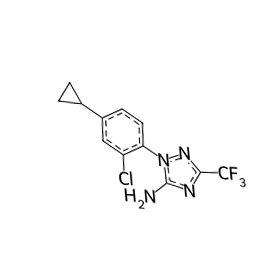 Nc1nc(C(F)(F)F)nn1-c1ccc(C2CC2)cc1Cl